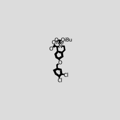 COC(=O)C1c2ccc(OCc3ccc(Cl)c(Cl)c3)cc2CCN1C(=O)OCC(C)C